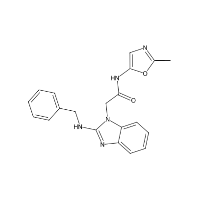 Cc1ncc(NC(=O)Cn2c(NCc3ccccc3)nc3ccccc32)o1